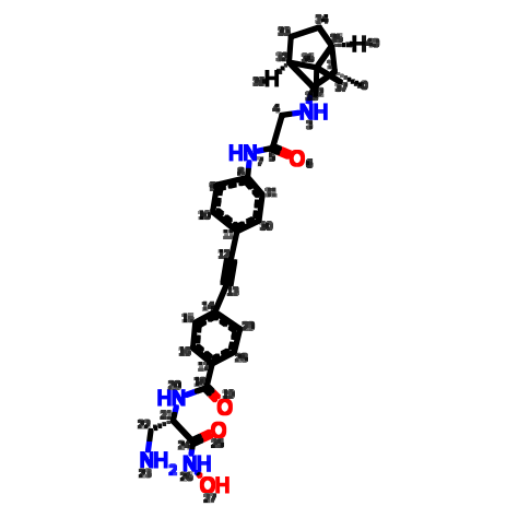 C[C@@H]1[C@@H](NCC(=O)Nc2ccc(C#Cc3ccc(C(=O)N[C@@H](CN)C(=O)NO)cc3)cc2)[C@H]2CC[C@@H]1C2(C)C